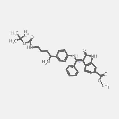 COC(=O)c1ccc2c(c1)NC(=O)/C2=C(\Nc1ccc(C(N)CCCNC(=O)OC(C)(C)C)cc1)c1ccccc1